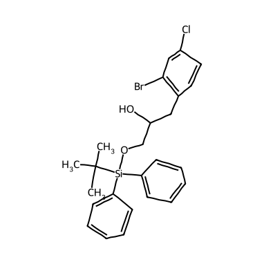 CC(C)(C)[Si](OCC(O)Cc1ccc(Cl)cc1Br)(c1ccccc1)c1ccccc1